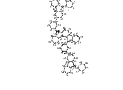 c1ccc(-n2c3ccccc3c3cc(-c4cccc(-n5c6ccccc6c6c5ccc5c7ccccc7n(-c7cccc(-c8ccc9c(c8)c8ccccc8n9-c8ccccc8)c7)c56)c4)ccc32)cc1